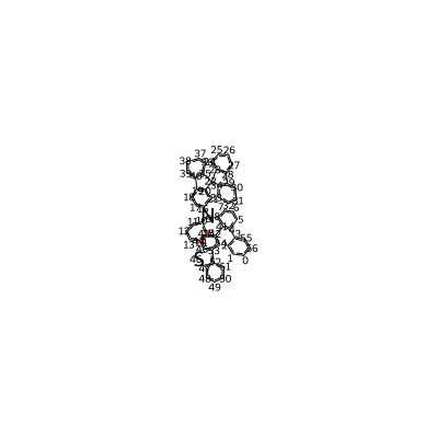 c1ccc(-c2cccc(N(c3ccccc3)c3ccc4c(c3)C3(c5ccccc5-c5ccccc53)c3ccccc3-4)c2-c2ccc3sc4ccccc4c3c2)cc1